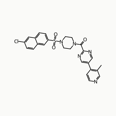 Cc1cnccc1-c1cnc(C(=O)N2CCN(S(=O)(=O)c3ccc4cc(Cl)ccc4c3)CC2)nc1